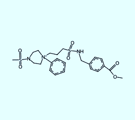 COC(=O)c1ccc(CNS(=O)(=O)CCC[N+]2(c3ccccc3)CCN(S(C)(=O)=O)CC2)cc1